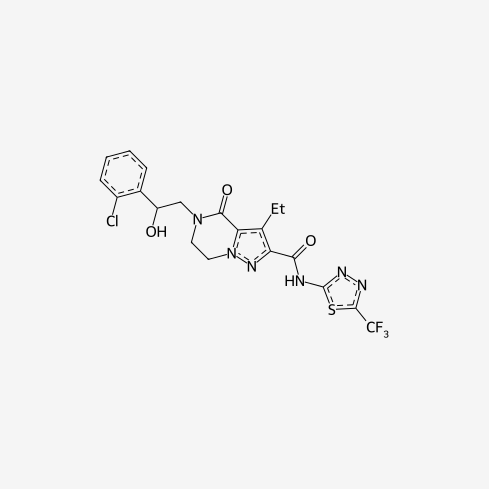 CCc1c(C(=O)Nc2nnc(C(F)(F)F)s2)nn2c1C(=O)N(CC(O)c1ccccc1Cl)CC2